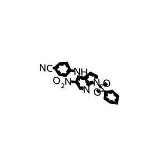 N#Cc1ccc(Nc2c([N+](=O)[O-])cnc3c2ccn3S(=O)(=O)c2ccccc2)cc1